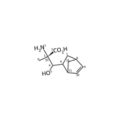 C[C@@](N)(C(=O)O)C(O)C1CC2C=CC1C2